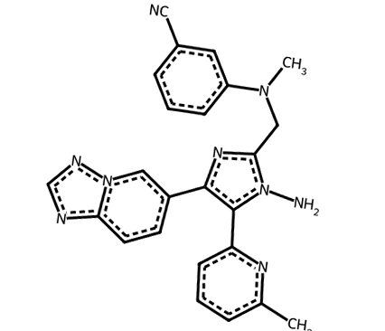 Cc1cccc(-c2c(-c3ccc4ncnn4c3)nc(CN(C)c3cccc(C#N)c3)n2N)n1